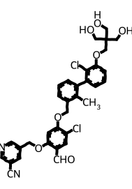 Cc1c(COc2cc(OCc3cncc(C#N)c3)c(C=O)cc2Cl)cccc1-c1cccc(OCC(CO)(CO)CO)c1Cl